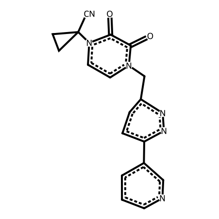 N#CC1(n2ccn(Cc3ccc(-c4cccnc4)nn3)c(=O)c2=O)CC1